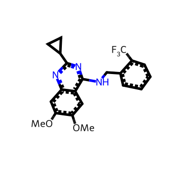 COc1cc2nc(C3CC3)nc(NCc3ccccc3C(F)(F)F)c2cc1OC